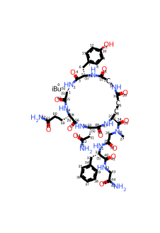 CC[C@H](C)[C@@H]1NC(=O)[C@H](Cc2ccc(O)cc2)NC(=O)CNC(=O)CC[C@@H](C(=O)N(C)CC(=O)N[C@@H](Cc2ccccc2)C(=O)NCC(N)=O)NC(=O)[C@H](CC(N)=O)NC(=O)[C@H](CCC(N)=O)NC1=O